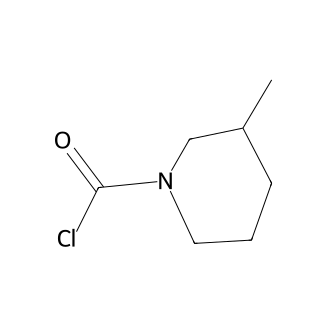 CC1CCCN(C(=O)Cl)C1